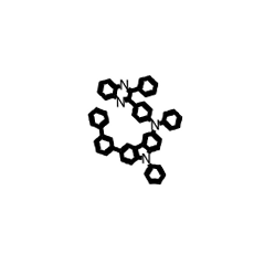 c1ccc(-c2cccc(-c3ccc4c(c3)c3cc(N(c5ccccc5)c5ccc(-c6nc7ccccc7nc6-c6ccccc6)cc5)ccc3n4-c3ccccc3)c2)cc1